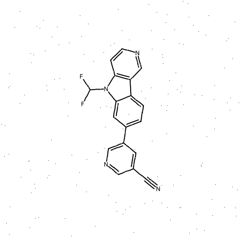 N#Cc1cncc(-c2ccc3c4cnccc4n(C(F)F)c3c2)c1